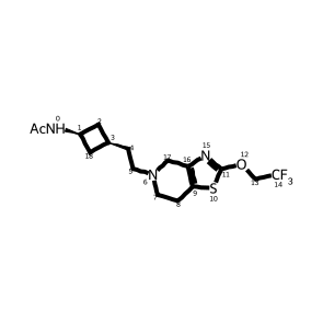 CC(=O)N[C@H]1C[C@@H](CCN2CCc3sc(OCC(F)(F)F)nc3C2)C1